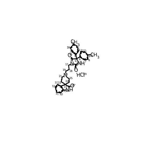 Cc1ccc(C2(c3ccc(C)cc3)NC(=O)N(CCCN3CCC4(CC3)C(=O)Nc3ccccc34)C2=O)cc1.Cl